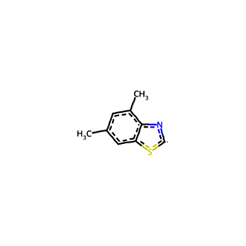 Cc1cc(C)c2n[c]sc2c1